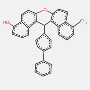 Cc1cccc2c3c(ccc12)Oc1ccc2c(O)cccc2c1C3c1ccc(-c2ccccc2)cc1